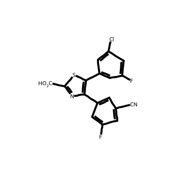 N#Cc1cc(F)cc(-c2nc(C(=O)O)sc2-c2cc(F)cc(Cl)c2)c1